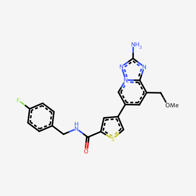 COCc1cc(-c2csc(C(=O)NCc3ccc(F)cc3)c2)cn2nc(N)nc12